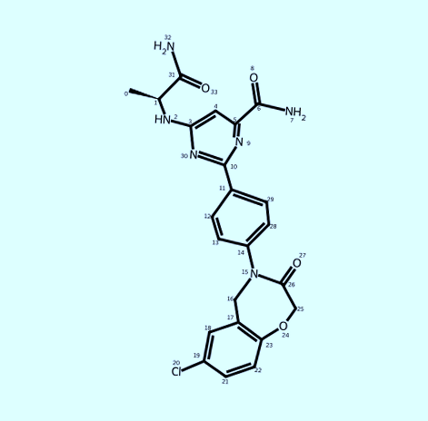 C[C@H](Nc1cc(C(N)=O)nc(-c2ccc(N3Cc4cc(Cl)ccc4OCC3=O)cc2)n1)C(N)=O